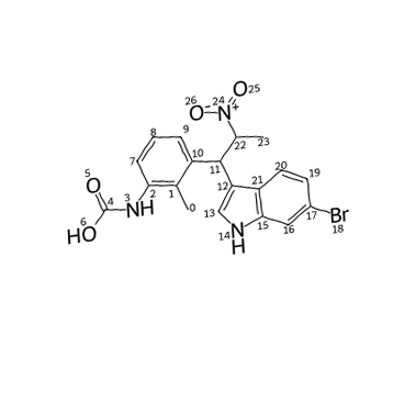 Cc1c(NC(=O)O)cccc1C(c1c[nH]c2cc(Br)ccc12)C(C)[N+](=O)[O-]